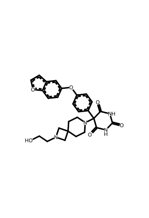 O=C1NC(=O)C(c2ccc(Oc3ccc4occc4c3)cc2)(N2CCC3(CC2)CN(CCO)C3)C(=O)N1